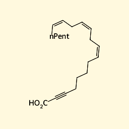 CCCCC/C=C\C/C=C\C/C=C\CCCCC#CC(=O)O